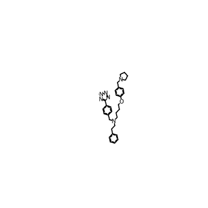 c1ccc(CCN(CCCCOc2ccc(CN3CCCC3)cc2)Cc2ccc(C3=N[N]N=N3)cc2)cc1